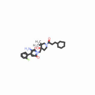 CC1(C)CN(C(=O)CCC2CCCCC2)CCC1(O)Cn1cc(N)c(-c2ccccc2F)cc1=O